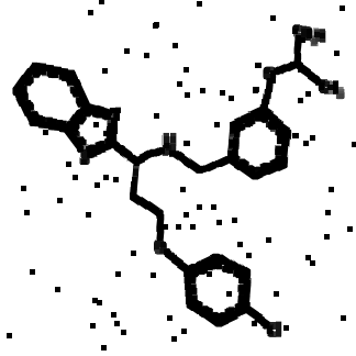 CC(Oc1cccc(CNC(CCOc2ccc(Cl)cc2)c2nc3ccccc3s2)c1)C(=O)O